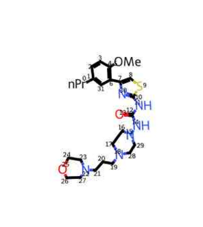 CCCc1ccc(OC)c(-c2csc(NC(=O)NN3CCN(CCCN4CCOCC4)CC3)n2)c1